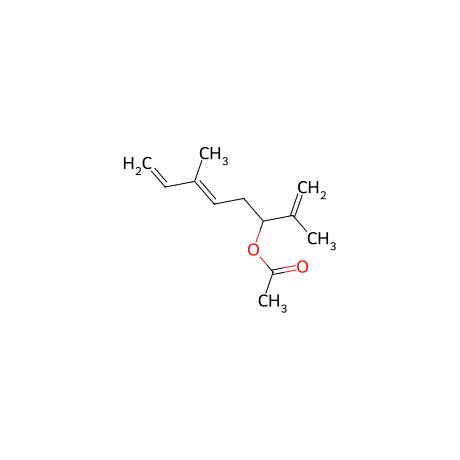 C=C/C(C)=C/CC(OC(C)=O)C(=C)C